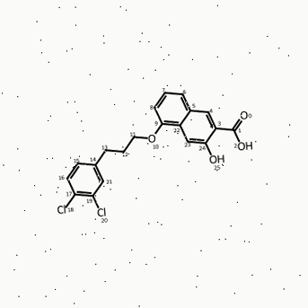 O=C(O)c1cc2cccc(OCCCc3ccc(Cl)c(Cl)c3)c2cc1O